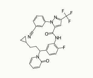 N#Cc1cccc(-n2nc(C(F)(F)F)cc2C(=O)Nc2cc(C(CCC3CC3)n3ccccc3=O)ccc2F)c1